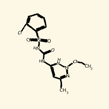 CON1N=C(C)C=C(NC(=O)NS(=O)(=O)c2ccccc2Cl)N1